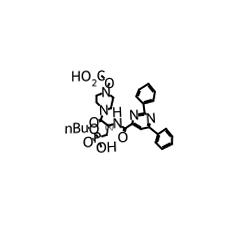 CCCCOP(=O)(O)C[C@H](NC(=O)c1cc(-c2ccccc2)nc(-c2ccccc2)n1)C(=O)N1CCN(OC(=O)O)CC1